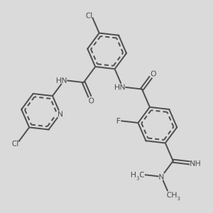 CN(C)C(=N)c1ccc(C(=O)Nc2ccc(Cl)cc2C(=O)Nc2ccc(Cl)cn2)c(F)c1